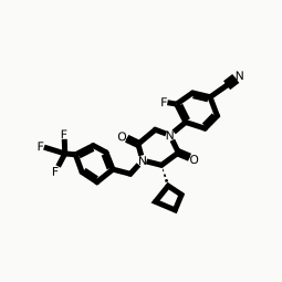 N#Cc1ccc(N2CC(=O)N(Cc3ccc(C(F)(F)F)cc3)[C@@H](C3CCC3)C2=O)c(F)c1